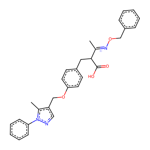 C/C(=N\OCc1ccccc1)C(Cc1ccc(OCc2cnn(-c3ccccc3)c2C)cc1)C(=O)O